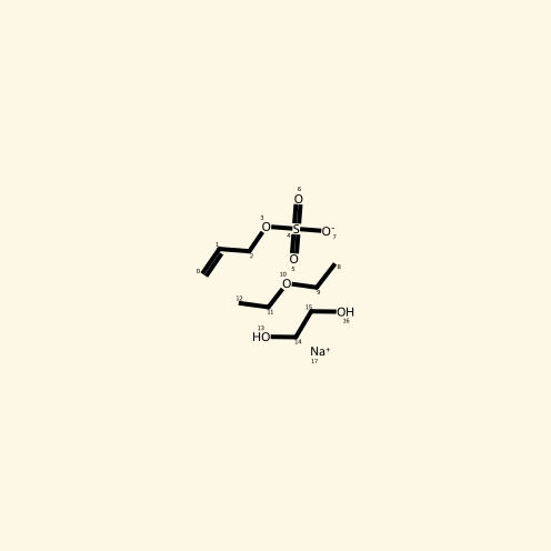 C=CCOS(=O)(=O)[O-].CCOCC.OCCO.[Na+]